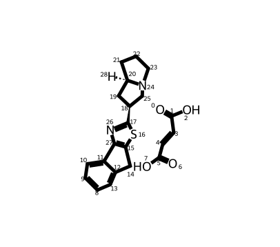 O=C(O)/C=C/C(=O)O.c1ccc2c(c1)Cc1sc([C@H]3C[C@H]4CCCN4C3)nc1-2